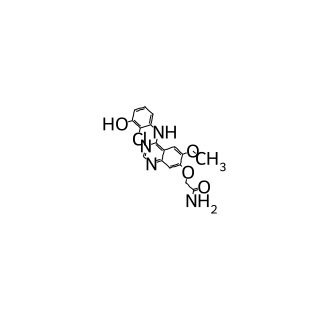 COc1cc2c(Nc3cccc(O)c3Cl)ncnc2cc1OCC(N)=O